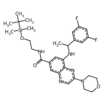 CC(Nc1cc(C(=O)NCCO[Si](C)(C)C(C)(C)C)cc2ncc(N3CCOCC3)nc12)c1cc(F)cc(F)c1